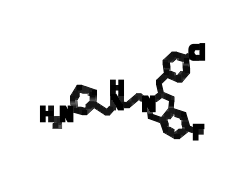 Nc1cccc(CNCCN2Cc3ccc(F)cc3CC2Cc2ccc(Cl)cc2)c1